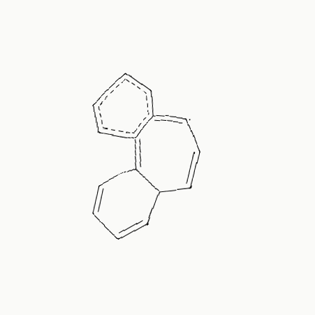 [C]1=c2ccccc2=C2C=CC=CC2C=C1